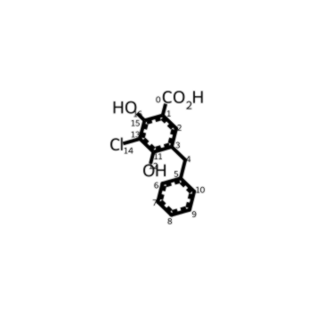 O=C(O)c1cc(Cc2ccccc2)c(O)c(Cl)c1O